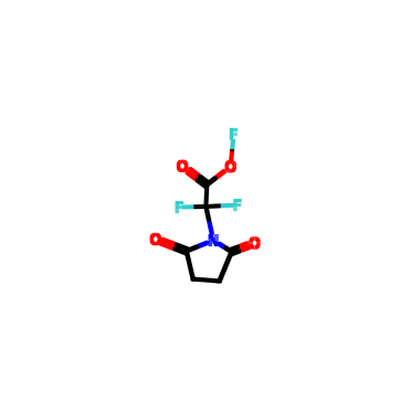 O=C1CCC(=O)N1C(F)(F)C(=O)OF